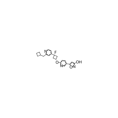 Oc1cc(-c2ccc(O[C@H]3C[C@](F)(c4ccnc(CC5CCC5)c4)C3)nc2)on1